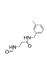 Cc1cccc(CNC(=O)CCNC=O)c1